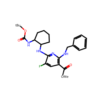 COC(=O)c1cc(F)c(NC2CCCCC2NC(=O)OC(C)(C)C)nc1NCc1ccccc1